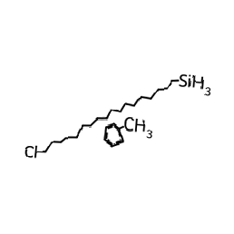 Cc1ccccc1.[SiH3]CCCCCCCCCCCCCCCCCCCl